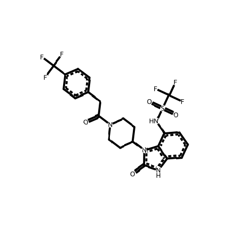 O=C(Cc1ccc(C(F)(F)F)cc1)N1CCC(n2c(=O)[nH]c3cccc(NS(=O)(=O)C(F)(F)F)c32)CC1